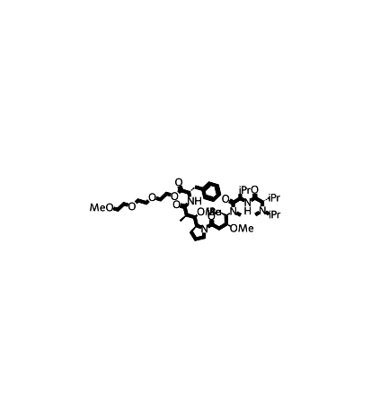 CC[C@H](C)[C@@H]([C@@H](CC(=O)N1CCC[C@H]1[C@H](OC)[C@@H](C)C(=O)N[C@@H](Cc1ccccc1)C(=O)OCCOCCOCCOC)OC)N(C)C(=O)C(NC(=O)[C@H](C(C)C)N(C)C(C)C)C(C)C